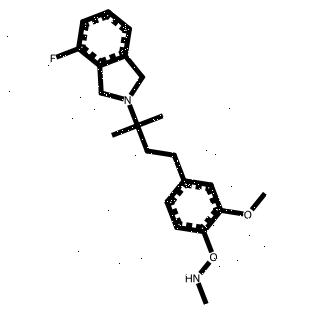 CNOc1ccc(CCC(C)(C)N2Cc3cccc(F)c3C2)cc1OC